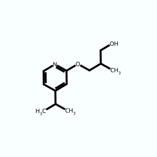 CC(CO)COc1cc(C(C)C)ccn1